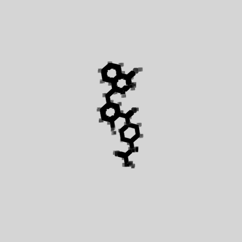 NC(=O)NC1CCN(C(=O)c2cc(Cc3n[nH]c(=O)c4ccccc34)ccc2F)CC1